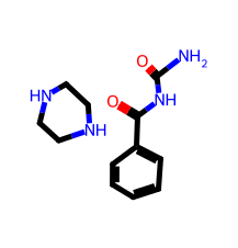 C1CNCCN1.NC(=O)NC(=O)c1ccccc1